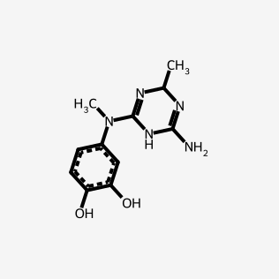 CC1N=C(N)NC(N(C)c2ccc(O)c(O)c2)=N1